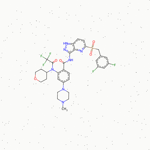 CN1CCN(c2ccc(C(=O)Nc3n[nH]c4ccc(S(=O)(=O)Cc5cc(F)cc(F)c5)nc34)c(N(C(=O)C(F)(F)F)C3CCOCC3)c2)CC1